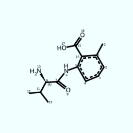 Cc1cccc(NC(=O)[C@H](N)C(C)C)c1C(=O)O